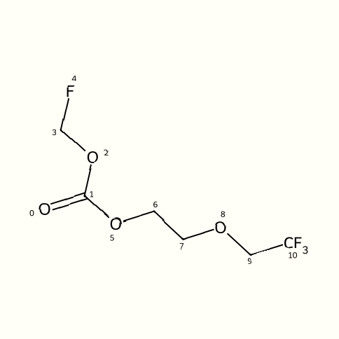 O=C(OCF)OCCOCC(F)(F)F